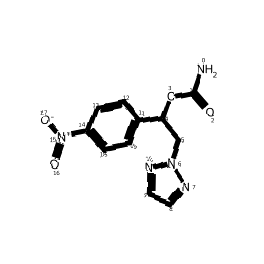 NC(=O)OC(Cn1nccn1)c1ccc([N+](=O)[O-])cc1